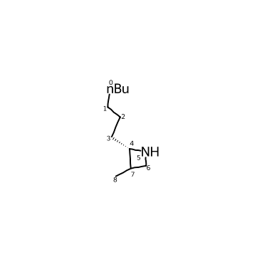 CCCCCCC[C@@H]1NCC1C